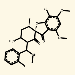 CNC(c1ccccc1F)C1C(=O)[C@@]2(Oc3c(Cl)c(OC)cc(OC)c3C2=O)[C@H](C)CC1N